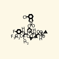 C=C(C)[C@H](Nc1ccc(F)c(C(F)(F)F)c1)C(=O)N1C[C@H](OC(=O)N2Cc3cccc(Cl)c3C2)C[C@H]1C(=O)N[C@]1(C(=O)NS(=O)(=O)C2CC2)C[C@H]1C1CC1